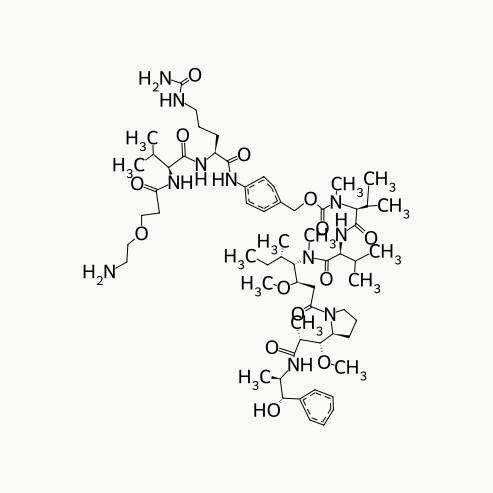 CC[C@H](C)[C@@H]([C@@H](CC(=O)N1CCC[C@H]1[C@H](OC)[C@@H](C)C(=O)N[C@H](C)[C@@H](O)c1ccccc1)OC)N(C)C(=O)[C@@H](NC(=O)[C@H](C(C)C)N(C)C(=O)OCc1ccc(NC(=O)[C@H](CCCNC(N)=O)NC(=O)[C@@H](NC(=O)CCOCCN)C(C)C)cc1)C(C)C